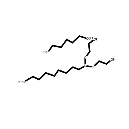 CCCCCCCCCCCCCCCC(=O)O.CCCCCCCCCCCCCCCCCCN(OCCO)OCCO